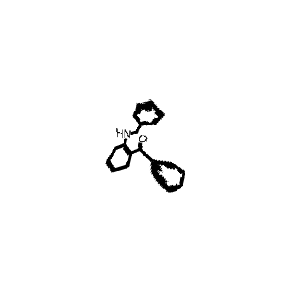 O=C(C1=C(NCc2ccccc2)CCCC1)c1ccccc1